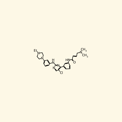 CCN1CCN(c2cccc(Nc3ncc(Cl)c(-c4cccc(NC(=O)/C=C/CN(C)C)c4)n3)c2)CC1